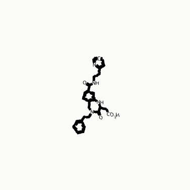 O=C(O)CC1Nc2cc(C(=O)NCCc3ccccn3)ccc2CN(CCc2ccccc2)C1=O